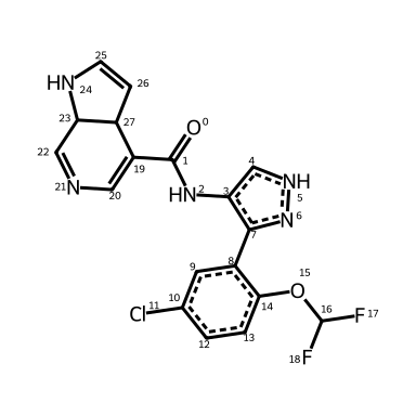 O=C(Nc1c[nH]nc1-c1cc(Cl)ccc1OC(F)F)C1=CN=CC2NC=CC12